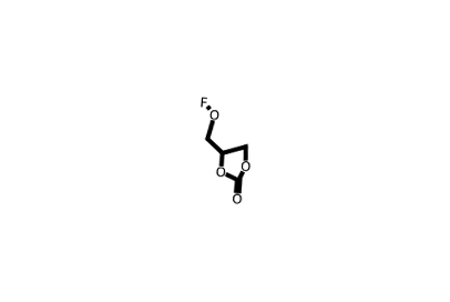 O=C1OCC(COF)O1